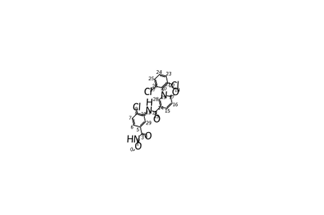 CONC(=O)c1ccc(Cl)c(NC(=O)c2ccc(=O)n(-c3c(Cl)cccc3Cl)c2)c1